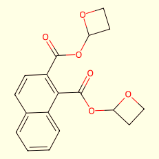 O=C(OC1CCO1)c1ccc2ccccc2c1C(=O)OC1CCO1